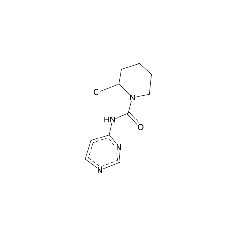 O=C(Nc1ccncn1)N1CCCCC1Cl